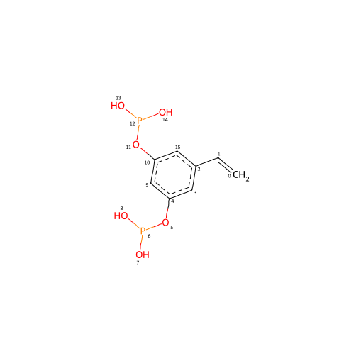 C=Cc1cc(OP(O)O)cc(OP(O)O)c1